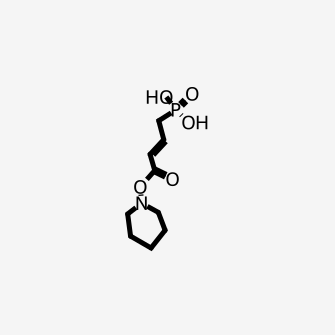 O=C(C=CCP(=O)(O)O)ON1CCCCC1